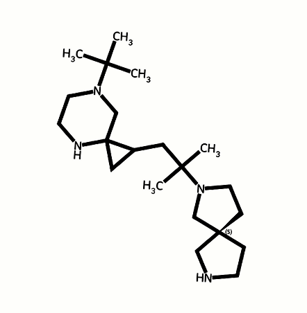 CC(C)(C)N1CCNC2(CC2CC(C)(C)N2CC[C@]3(CCNC3)C2)C1